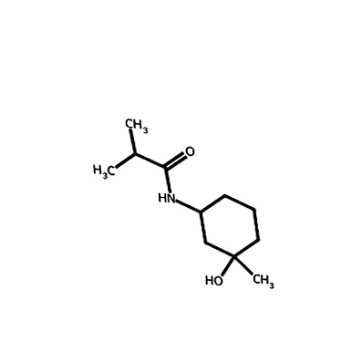 CC(C)C(=O)NC1CCCC(C)(O)C1